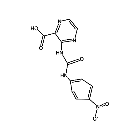 O=C(Nc1ccc([N+](=O)[O-])cc1)Nc1nccnc1C(=O)O